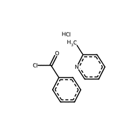 Cc1ccccn1.Cl.O=C(Cl)c1ccccc1